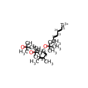 C=CC(C)=CC.CC(C)(C)[O-].CC(C)(C)[O-].CC(C)(C)[O-].CC=CC=[CH][Ti+3]